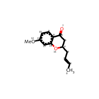 CC=CCC1CC(=O)c2ccc(OC)cc2O1